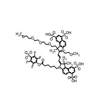 COCCOCCOCCOCCC1(C)C(/C=C/C=C2/N(CCCCCC(=O)Oc3c(F)c(F)c(S(=O)(=O)[O-])c(F)c3F)c3ccc4c(S(=O)(=O)O)cc(S(=O)(=O)O)cc4c3C2(C)C)=[N+](CCOC)c2ccc3c(S(=O)(=O)O)cc(S(=O)(=O)O)cc3c21